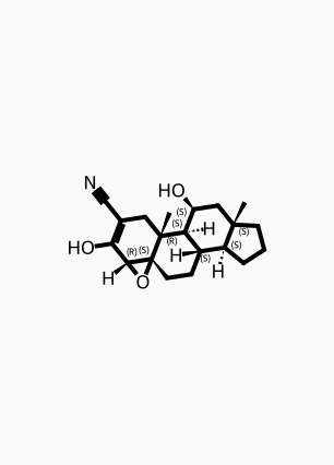 C[C@@]12CCC[C@H]1[C@@H]1CC[C@@]34O[C@@H]3C(O)=C(C#N)C[C@]4(C)[C@H]1[C@@H](O)C2